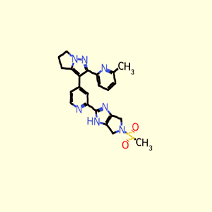 Cc1cccc(-c2nn3c(c2-c2ccnc(-c4nc5c([nH]4)CN(S(C)(=O)=O)C5)c2)CCC3)n1